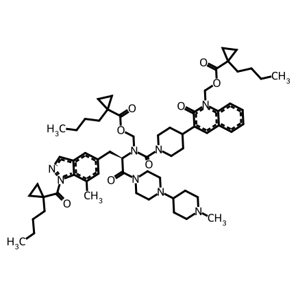 CCCCC1(C(=O)OCN(C(=O)N2CCC(c3cc4ccccc4n(COC(=O)C4(CCCC)CC4)c3=O)CC2)[C@H](Cc2cc(C)c3c(cnn3C(=O)C3(CCCC)CC3)c2)C(=O)N2CCN(C3CCN(C)CC3)CC2)CC1